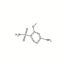 COc1cc(N)ccc1S(N)(=O)=O